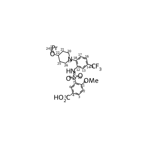 COc1ccc(C(=O)O)cc1S(=O)(=O)Nc1cc(C(F)(F)F)ccc1N1CCC(OC(C)C)CC1